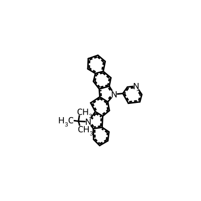 CC(C)(C)n1c2ccccc2c2cc3c(cc21)c1cc2ccccc2cc1n3-c1cccnc1